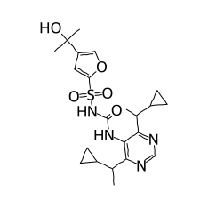 CC(c1ncnc(C(C)C2CC2)c1NC(=O)NS(=O)(=O)c1cc(C(C)(C)O)co1)C1CC1